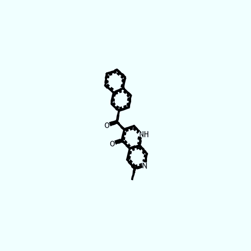 Cc1cc2c(=O)c(C(=O)c3ccc4ccccc4c3)c[nH]c2cn1